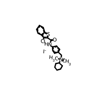 C[N+](C)(Cc1ccc(NC(=O)c2sc3ccccc3c2Cl)cc1)C1CCCCC1.[I-]